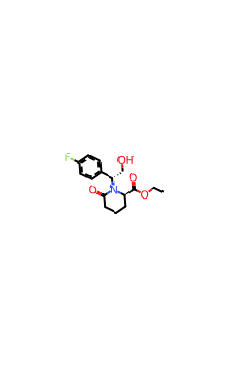 CCOC(=O)[C@H]1CCCC(=O)N1[C@@H](CO)c1ccc(F)cc1